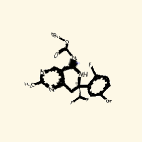 Cc1ncc2c(n1)C[C@](c1cc(Br)ccc1F)(C(F)F)N/C2=N/C(=O)OC(C)(C)C